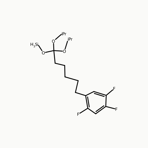 CC(C)OC(CCCCCc1cc(F)c(F)cc1F)(O[SiH3])OC(C)C